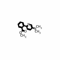 COC(=O)c1ccccc1-c1ccc(N(C)C)cn1